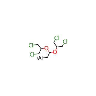 [Al][CH2]C(OC(CCl)CCl)OC(CCl)CCl